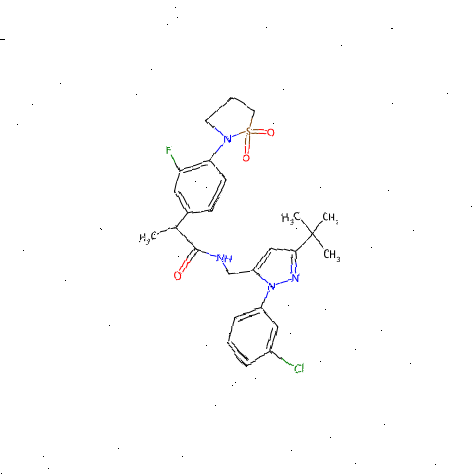 CC(C(=O)NCc1cc(C(C)(C)C)nn1-c1cccc(Cl)c1)c1ccc(N2CCCS2(=O)=O)c(F)c1